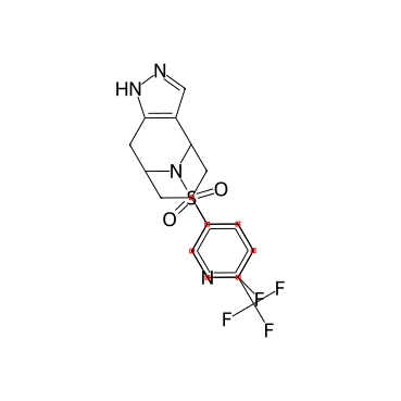 O=S(=O)(c1ccc(C(F)(F)F)nc1)N1C2Cc3[nH]ncc3C1CC(c1ccc(F)cc1)C2